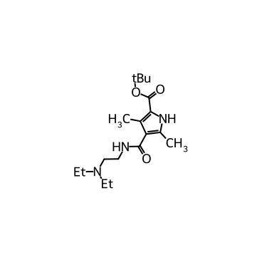 CCN(CC)CCNC(=O)c1c(C)[nH]c(C(=O)OC(C)(C)C)c1C